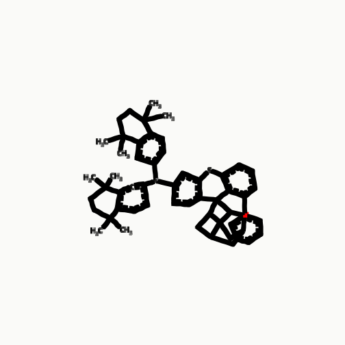 CC1(C)CCC(C)(C)c2cc(N(c3ccc4c(c3)Sc3cccc(-c5ccccc5)c3C43C4CC5CC6CC3C64C5)c3ccc4c(c3)C(C)(C)CCC4(C)C)ccc21